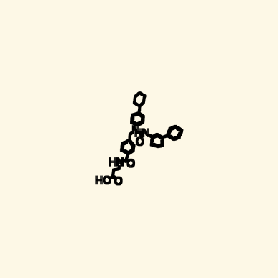 O=C(O)CCNC(=O)c1ccc(CN(C(=O)Nc2cccc(-c3ccccc3)c2)c2ccc(C3CCCCC3)cc2)cc1